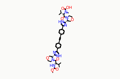 COC(=O)N[C@H](C(=O)N1CCOC[C@@H]1c1nc(-c2ccc(C#Cc3ccc(-c4c[nH]c([C@H]5COCCN5C(=O)[C@H](C(C)C)N(C)C(=O)O)n4)cc3)cc2)c[nH]1)C(C)C